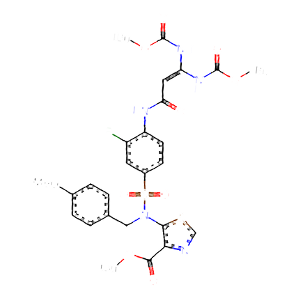 COc1ccc(CN(c2scnc2C(=O)OC(C)(C)C)S(=O)(=O)c2ccc(NC(=O)C=C(NC(=O)OC(C)(C)C)NC(=O)OC(C)(C)C)c(F)c2)cc1